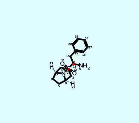 NC[C@@H]1C[C@H]2CC[C@@H](C1)N2S(=O)(=O)CCc1ccccc1